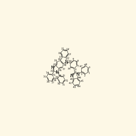 c1ccc(-n2c(-c3cccc(-n4c5ccccc5c5cc6nc7c8ccccc8c8ccccc8n7c6cc54)c3)nc3ccccc32)cc1